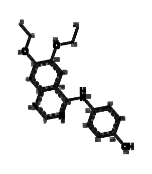 CCOc1cc2ncnc(Nc3ccc(O)cc3)c2cc1OCC